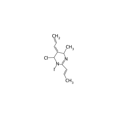 C=C/C=C1\C(C)N=C(/C=C/C)N(I)C1Cl